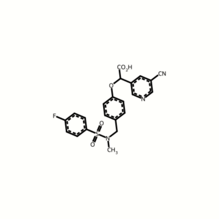 CN(Cc1ccc(OC(C(=O)O)c2cncc(C#N)c2)cc1)S(=O)(=O)c1ccc(F)cc1